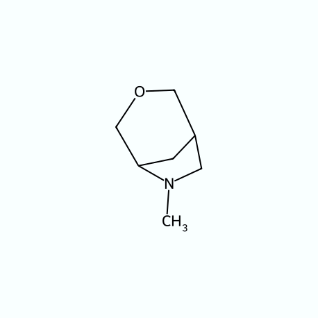 CN1CC2COCC1C2